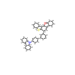 c1cc(-c2ccc(-n3c4ccccc4c4ccccc43)cc2)cc(-c2cc3c4ccccc4oc3c3c2sc2ccccc23)c1